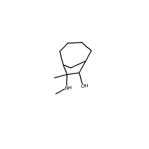 CNC1(C)C2CCCCC(C2)C1O